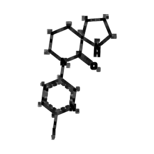 O=C1N(c2ccc(I)nc2)CCCC12CCCN2